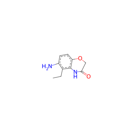 CCc1c(N)ccc2c1NC(=O)CO2